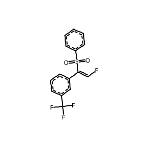 O=S(=O)(C(=CF)c1cccc(C(F)(F)F)c1)c1ccccc1